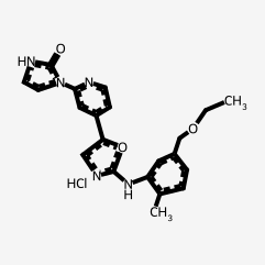 CCOCc1ccc(C)c(Nc2ncc(-c3ccnc(-n4cc[nH]c4=O)c3)o2)c1.Cl